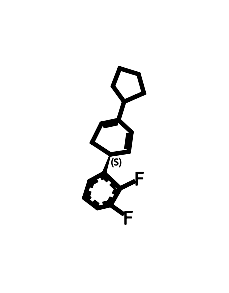 Fc1cccc([C@@H]2C=CC(C3CCCC3)=CC2)c1F